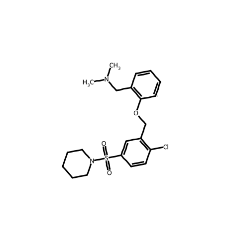 CN(C)Cc1ccc[c]c1OCc1cc(S(=O)(=O)N2CCCCC2)ccc1Cl